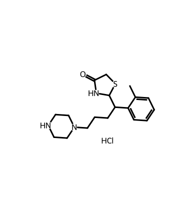 Cc1ccccc1C(CCCN1CCNCC1)C1NC(=O)CS1.Cl